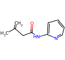 C=C(C)CC(=O)Nc1ccccn1